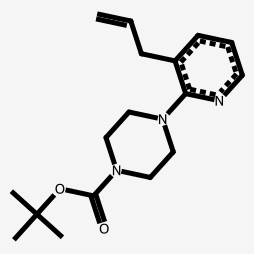 C=CCc1cccnc1N1CCN(C(=O)OC(C)(C)C)CC1